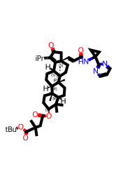 CC(C)C1=C2[C@H]3CC[C@@H]4[C@@]5(C)CC[C@H](OC(=O)CC(C)(C)C(=O)OC(C)(C)C)C(C)(C)[C@@H]5CC[C@@]4(C)[C@]3(C)CC[C@@]2(C=CC(=O)NC2(c3ncccn3)CC2)CC1=O